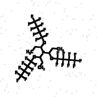 CCC(OC(F)(F)C(F)(F)C(F)(F)C(F)(F)F)P(C(CC)OC(F)(F)C(F)(F)C(F)(F)C(F)(F)F)C(CC)OC(F)(F)C(F)(F)C(F)(F)C(F)(F)F